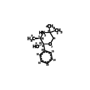 C[C@H]1NC(C)(C)CO[C@@]1(O)c1ccccc1